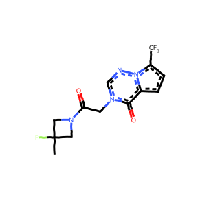 CC1(F)CN(C(=O)Cn2cnn3c(C(F)(F)F)ccc3c2=O)C1